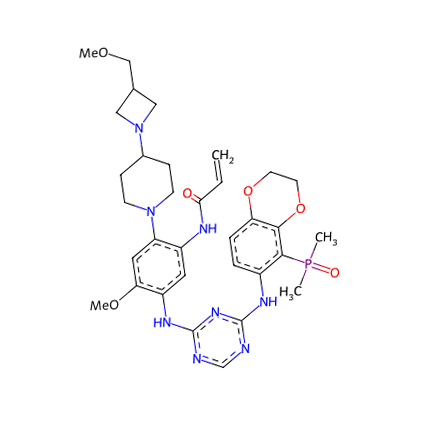 C=CC(=O)Nc1cc(Nc2ncnc(Nc3ccc4c(c3P(C)(C)=O)OCCO4)n2)c(OC)cc1N1CCC(N2CC(COC)C2)CC1